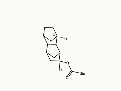 CCC1(OC(=O)C(C)(C)C)CC2CC1C1C2C2CC[C@@H]1C2